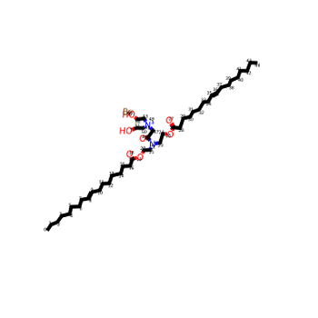 CCCCCCCCC=CCCCCCCCC(=O)OCCN(CCOC(=O)CCCCCCCC=CCCCCCCCC)C(=O)C[N+](C)(CCO)CCO.[Br-]